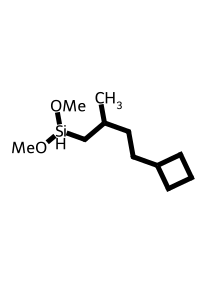 CO[SiH](CC(C)CCC1CCC1)OC